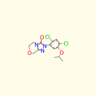 CC(C)Oc1cc(-n2nc3n(c2=O)CCOC3)c(Cl)cc1Cl